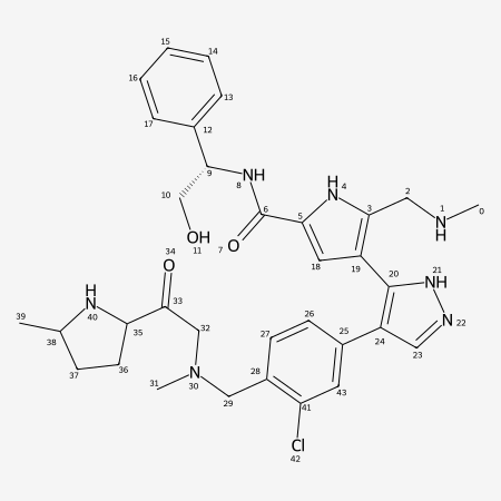 CNCc1[nH]c(C(=O)N[C@H](CO)c2ccccc2)cc1-c1[nH]ncc1-c1ccc(CN(C)CC(=O)C2CCC(C)N2)c(Cl)c1